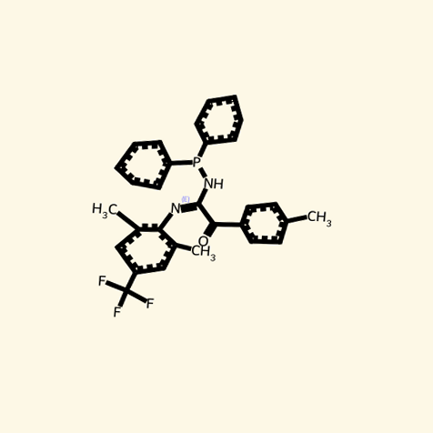 Cc1ccc(C(=O)/C(=N\c2c(C)cc(C(F)(F)F)cc2C)NP(c2ccccc2)c2ccccc2)cc1